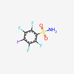 NS(=O)(=O)c1c(F)c(F)c(I)c(F)c1F